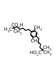 Cc1cc(CCCCC(C)(C)C(=O)O)c(C)cc1CCCCCC(C)(C)C(=O)O